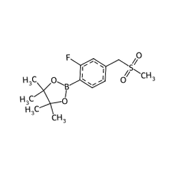 CC1(C)OB(c2ccc(CS(C)(=O)=O)cc2F)OC1(C)C